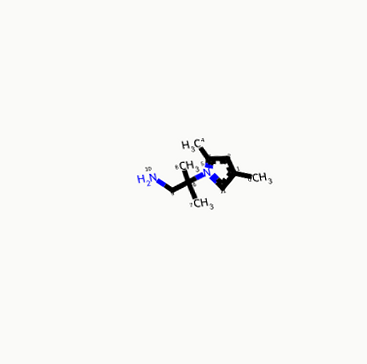 Cc1cc(C)n(C(C)(C)CN)c1